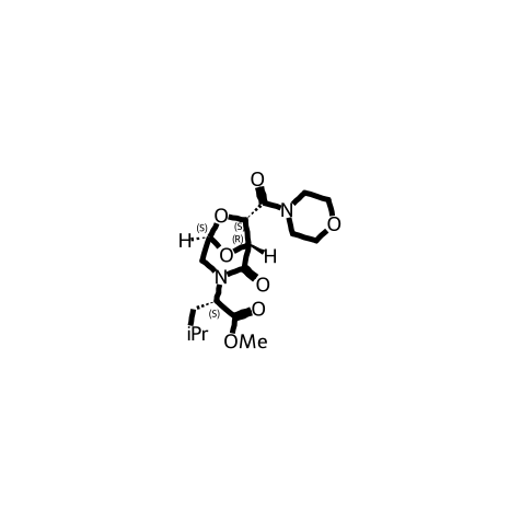 COC(=O)[C@H](CC(C)C)N1C[C@H]2O[C@H](C(=O)N3CCOCC3)[C@@H](O2)C1=O